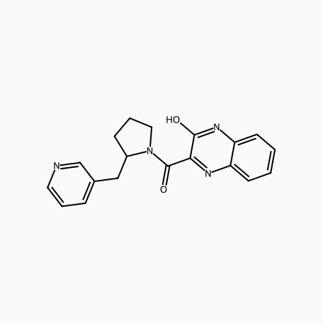 O=C(c1nc2ccccc2nc1O)N1CCCC1Cc1cccnc1